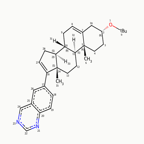 CC(C)(C)O[C@@H]1CC[C@@]2(C)C(=CC[C@@H]3[C@@H]2CC[C@]2(C)C(c4ccc5ncncc5c4)=CC[C@@H]32)C1